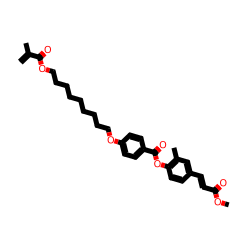 C=C(C)C(=O)OCCCCCCCCCOc1ccc(C(=O)Oc2ccc(C=CC(=O)OC)cc2C)cc1